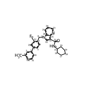 Cc1cc(-c2ccc(Cn3cc(C(=O)NC4CCCCC4)c4ncccc43)c(F)c2)ccn1